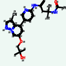 C=C(CC(CC)(CC)NC(=O)C(C)C)Nc1ccc(-c2cc(OCC(C)(C)O)cn3ncc(C#N)c23)cn1